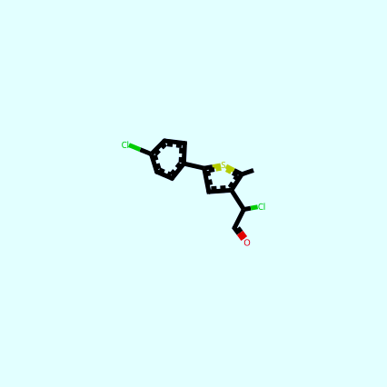 Cc1sc(-c2ccc(Cl)cc2)cc1C(Cl)C=O